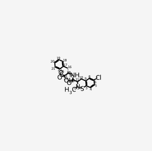 CN1Sc2ccc(Cl)cc2CC1C(=O)N[C@@H](Cc1ccccc1)C1(O)OO1